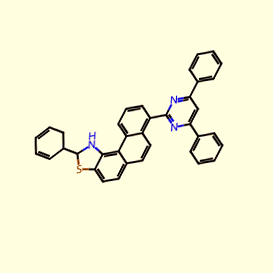 C1=CCC(C2Nc3c(ccc4ccc5c(-c6nc(-c7ccccc7)cc(-c7ccccc7)n6)cccc5c34)S2)C=C1